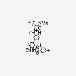 CCc1ncc(-c2ccc3ncn(C[C@@H](C)C(=O)NC)c(=O)c3c2)cc1NS(=O)(=O)c1ccc(F)cc1Cl